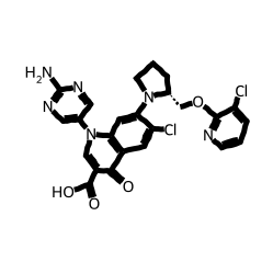 Nc1ncc(-n2cc(C(=O)O)c(=O)c3cc(Cl)c(N4CCC[C@@H]4COc4ncccc4Cl)cc32)cn1